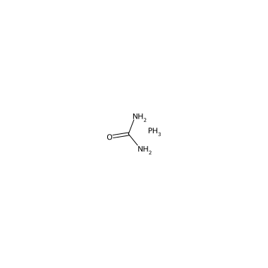 NC(N)=O.P